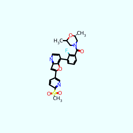 CC1CN(C(=O)c2cccc(-c3ccnc4cc(-c5ccc(S(C)(=O)=O)nc5)oc34)c2F)C[C@@H](C)O1